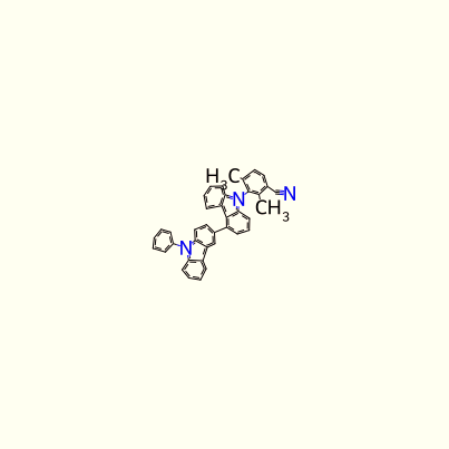 Cc1ccc(C#N)c(C)c1-n1c2ccccc2c2c(-c3ccc4c(c3)c3ccccc3n4-c3ccccc3)cccc21